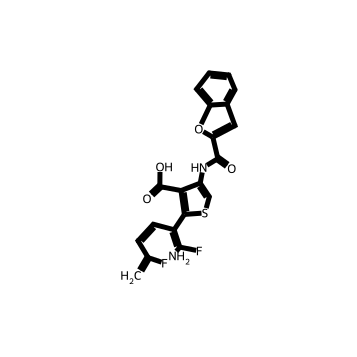 C=C(F)/C=C\C(=C(/N)F)c1scc(NC(=O)c2cc3ccccc3o2)c1C(=O)O